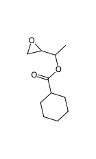 CC(OC(=O)C1CCCCC1)C1CO1